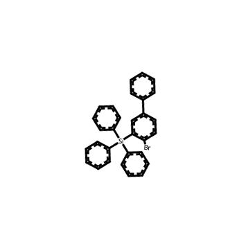 Brc1ccc(-c2ccccc2)cc1[Si](c1ccccc1)(c1ccccc1)c1ccccc1